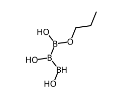 CCCOB(O)B(O)BO